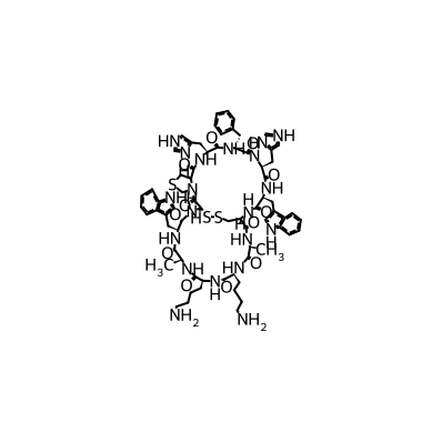 C[C@@H]1NC(=O)[C@H](CCCCN)NC(=O)[C@H](CCCCN)NC(=O)[C@H](C)NC(=O)[C@@H]2CSS[C@H](NC(=O)[C@H](Cc3c[nH]c4ccccc34)NC1=O)C(=O)N1CSC[C@H]1C(=O)N[C@@H](Cc1c[nH]cn1)C(=O)N[C@H](Cc1ccccc1)C(=O)N[C@@H](Cc1c[nH]cn1)C(=O)N[C@@H](Cc1c[nH]c3ccccc13)C(=O)N2